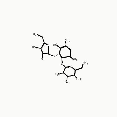 NCC1O[C@H](O[C@@H]2C(N)C[C@@H](N)C(O)[C@H]2O[C@@H]2O[C@H](CN)[C@H](O)C2O)C(N)[C@@H](O)[C@@H]1O